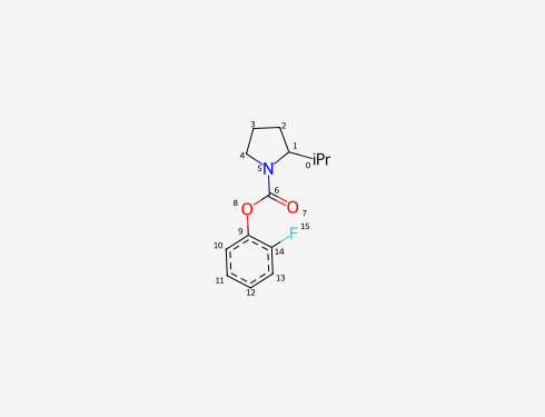 CC(C)C1CCCN1C(=O)Oc1ccccc1F